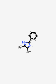 CC(C)c1nc(-c2ccccc2)[nH]c1C(C)C